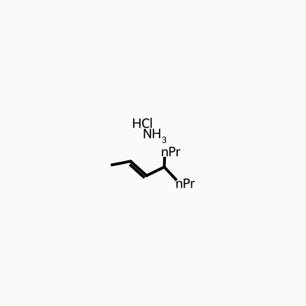 CC=CC(CCC)CCC.Cl.N